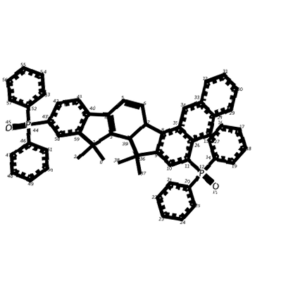 CC1(C)C2=C(C=CC3c4c(cc(P(=O)(c5ccccc5)c5ccccc5)c5cc6ccccc6cc45)C(C)(C)C23)c2ccc(P(=O)(c3ccccc3)c3ccccc3)cc21